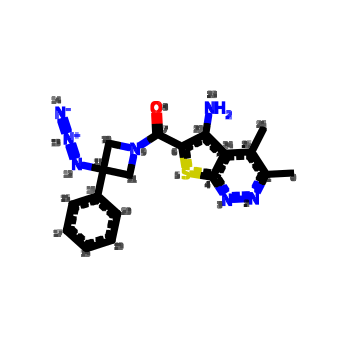 Cc1nnc2sc(C(=O)N3CC(N=[N+]=[N-])(c4ccccc4)C3)c(N)c2c1C